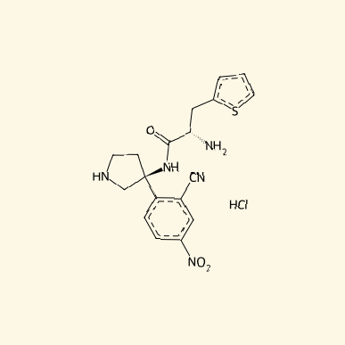 Cl.N#Cc1cc([N+](=O)[O-])ccc1[C@@]1(NC(=O)[C@@H](N)Cc2cccs2)CCNC1